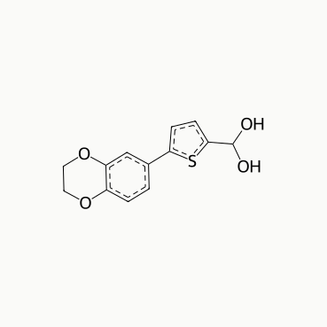 OC(O)c1ccc(-c2ccc3c(c2)OCCO3)s1